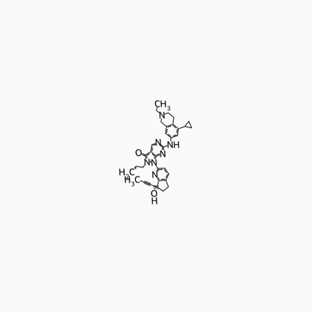 C=CCn1c(=O)c2cnc(Nc3cc4c(c(C5CC5)c3)CCN(CC)C4)nc2n1-c1ccc2c(n1)[C@](O)(C#CC)CC2